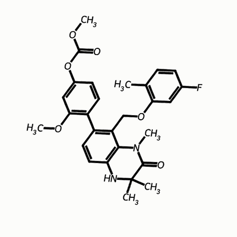 COC(=O)Oc1ccc(-c2ccc3c(c2COc2cc(F)ccc2C)N(C)C(=O)C(C)(C)N3)c(OC)c1